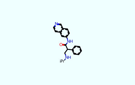 CC(C)NCC(C(=O)Nc1ccc2cnccc2c1)c1ccccc1